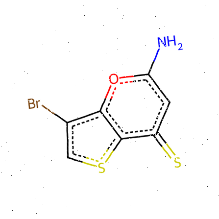 Nc1cc(=S)c2scc(Br)c2o1